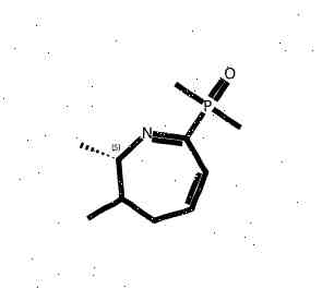 CC1CC=CC(P(C)(C)=O)=N[C@H]1C